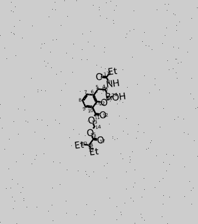 CCC(=O)N[C@H]1Cc2cccc(C(=O)OCOC(=O)C(CC)CC)c2OB1O